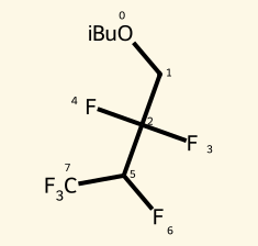 CC(C)COCC(F)(F)C(F)C(F)(F)F